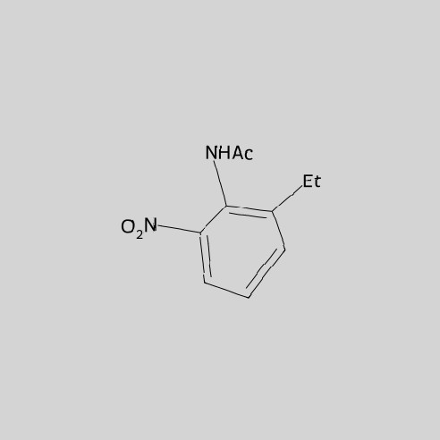 CCc1cccc([N+](=O)[O-])c1NC(C)=O